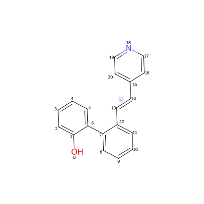 Oc1ccccc1-c1ccccc1/C=C/c1ccncc1